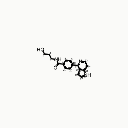 O=C(NCCCO)c1ccc(-c2nccc3[nH]ccc23)cc1